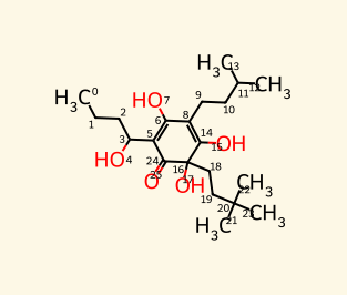 CCCC(O)C1=C(O)C(CCC(C)C)=C(O)C(O)(CCC(C)(C)C)C1=O